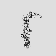 NCC(=O)OCc1csc(-c2ccc(-c3ccc(N4C[C@H](Cn5ccnn5)OC4=O)cc3F)cc2)n1